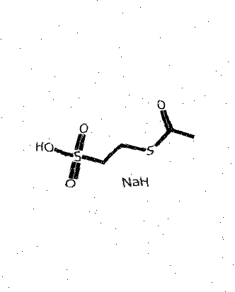 CC(=O)SCCS(=O)(=O)O.[NaH]